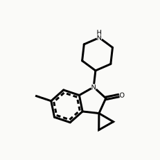 Cc1ccc2c(c1)N(C1CCNCC1)C(=O)C21CC1